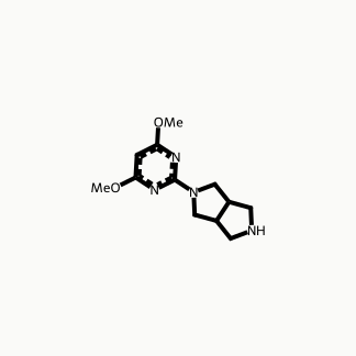 COc1cc(OC)nc(N2CC3CNCC3C2)n1